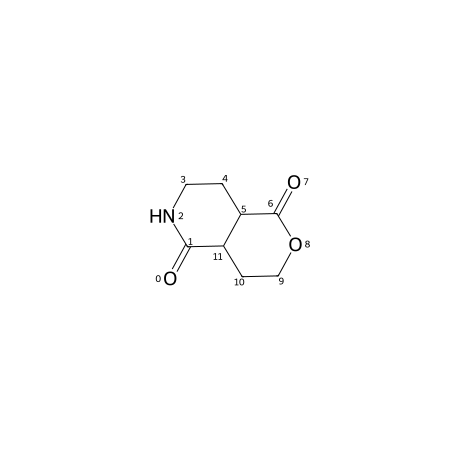 O=C1NCCC2C(=O)OCCC12